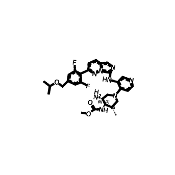 COC(=O)N[C@@H]1[C@H](N)CN(c2ccncc2Nc2ncc3ccc(-c4c(F)cc(COC(C)C)cc4F)nn23)C[C@@H]1C